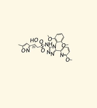 COc1cccc(-c2nnc(NS(=O)(=O)C[C@@H](O)c3cc(C)on3)n2-c2c(OC)cccc2OC)n1